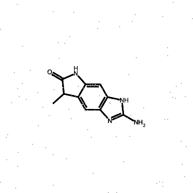 CC1C(=O)Nc2cc3[nH]c(N)nc3cc21